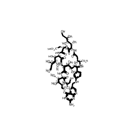 Nc1nc2ncc(CNc3ccc(C(=O)N[C@@H](CCC(=O)N[C@H](C(=O)N[C@@H](CC(=O)O)C(=O)N[C@H](C(=O)N[C@H](C(=O)N[C@H](C(=O)N[C@@H](CS)C(=O)O)[C@@H](O)[C@H](O)[C@H](O)CO)[C@@H](O)[C@@H](O)[C@H](O)CO)[C@@H](O)[C@H](O)[C@H](O)CO)[C@@H](O)[C@H](O)[C@H](O)CO)C(=O)O)cc3)nc2c(=O)[nH]1